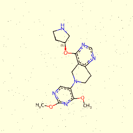 COc1ncc(N2CCc3ncnc(O[C@H]4CCNC4)c3C2)c(OC)n1